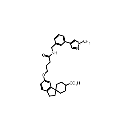 Cn1cc(-c2cccc(CNC(=O)CCCOc3ccc4c(c3)C3(CC4)CCC(C(=O)O)CC3)c2)cn1